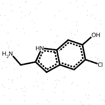 NCc1cc2cc(Cl)c(O)cc2[nH]1